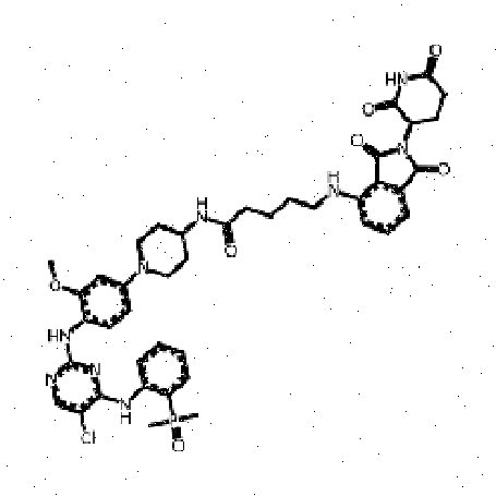 COc1cc(N2CCC(NC(=O)CCCCNc3cccc4c3C(=O)N(C3CCC(=O)NC3=O)C4=O)CC2)ccc1Nc1ncc(Cl)c(Nc2ccccc2P(C)(C)=O)n1